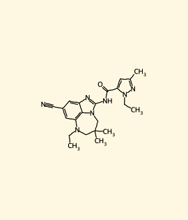 CCN1CC(C)(C)Cn2c(NC(=O)c3cc(C)nn3CC)nc3cc(C#N)cc1c32